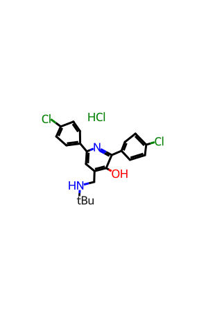 CC(C)(C)NCc1cc(-c2ccc(Cl)cc2)nc(-c2ccc(Cl)cc2)c1O.Cl